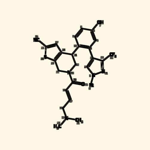 CCn1cc(-c2cc(O)ccc2C2CN(C(=O)/C=C/CN(C)C)Cc3sc(C#N)cc32)c(C(F)(F)F)n1